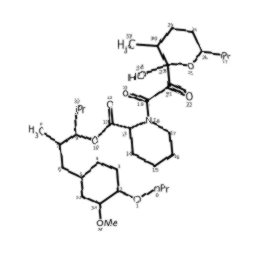 CCCOC1CCC(CC(C)C(OC(=O)C2CCCCN2C(=O)C(=O)C2(O)OC(C(C)C)CCC2C)C(C)C)CC1OC